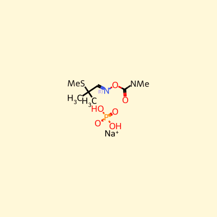 CNC(=O)O/N=C/C(C)(C)SC.O=P([O-])(O)O.[Na+]